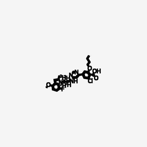 [2H]C([2H])(Nc1cc(-c2cc(Cl)c(C(=O)O)c(OCCCC)c2)ncn1)C([2H])([2H])n1c(C)cc2c(OC)ccc(F)c21